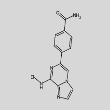 NC(=O)c1ccc(-c2cn3ccnc3c(NCl)n2)cc1